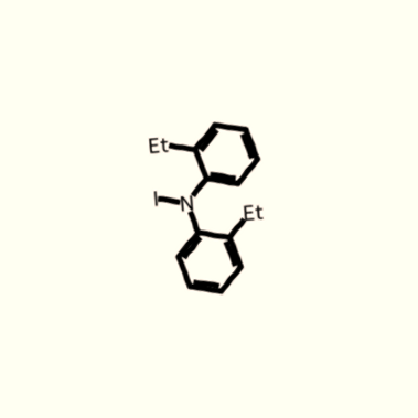 CCc1ccccc1N(I)c1ccccc1CC